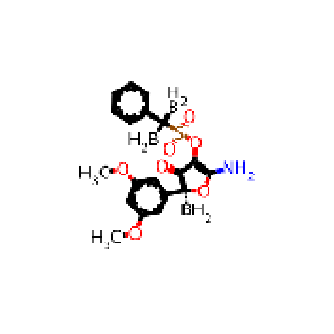 BC(B)(c1ccccc1)S(=O)(=O)OC1=C(N)O[C@@](B)(c2cc(OC)cc(OC)c2)C1=O